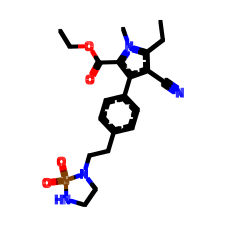 CCOC(=O)c1c(-c2ccc(CCN3CCNS3(=O)=O)cc2)c(C#N)c(CC)n1C